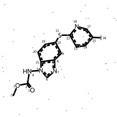 COC(=O)Nn1cnc2cc(Sc3ccc(I)cn3)ccc21